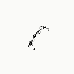 C=CC(=O)OCCOCCOCCOCCC